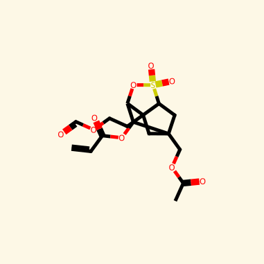 C=CC(=O)OC1C2OS(=O)(=O)C3CC1(COC(C)=O)CC23CCOC=O